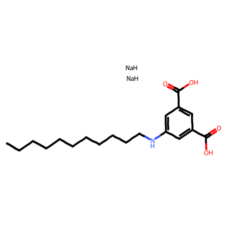 CCCCCCCCCCCNc1cc(C(=O)O)cc(C(=O)O)c1.[NaH].[NaH]